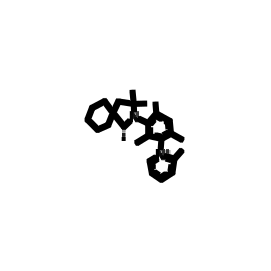 Cc1cc(C)c(-[n+]2ccccc2C)c(C)c1N1[C@H](C)C2(CCCCC2)CC1(C)C